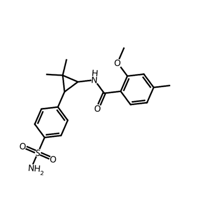 COc1cc(C)ccc1C(=O)NC1C(c2ccc(S(N)(=O)=O)cc2)C1(C)C